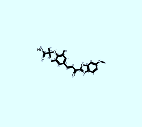 CSc1ccc2nc(C(=O)/C=C/c3cc(C)c(OC(C)(C)C(=O)O)c(C)c3)oc2c1